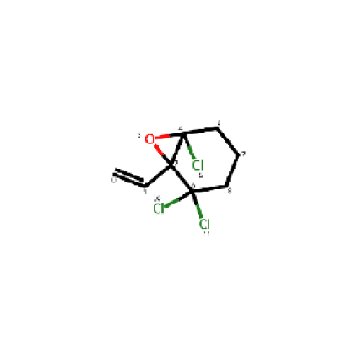 C=CC12OC1(Cl)CCCC2(Cl)Cl